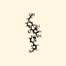 O=C(c1cc(Nc2nccc(-c3ccc(Br)s3)n2)ccc1O)N1CCN(CCO)CC1